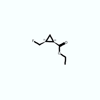 CCOC(=O)[C@@H]1C[C@@H]1CF